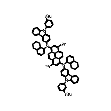 CC(C)c1cc(N(c2ccc3c(c2)c2ccccc2n3-c2cccc(C(C)(C)C)c2)c2cccc3c2CCCC3)c2ccc3c(C(C)C)cc(N(c4ccc5c(c4)c4ccccc4n5-c4cccc(C(C)(C)C)c4)c4cccc5c4CCCC5)c4ccc1c2c34